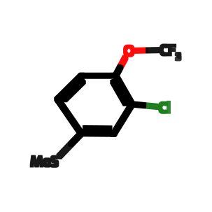 CSc1ccc(OC(F)(F)F)c(Cl)c1